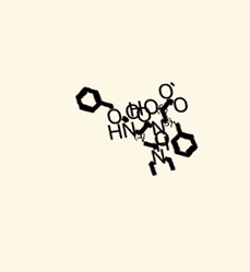 CCN(CC)C(=O)C[C@H](NC(=O)OCc1ccccc1)C(=O)N[C@@H](Cc1ccccc1)[C@H](O)C(=O)OC